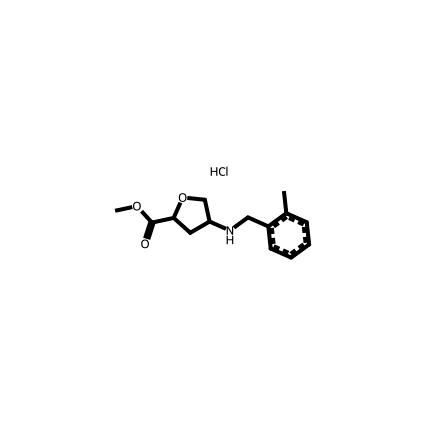 COC(=O)C1CC(NCc2ccccc2C)CO1.Cl